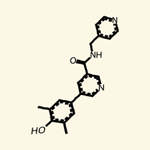 Cc1cc(-c2cncc(C(=O)NCc3ccncc3)c2)cc(C)c1O